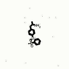 CC(N)Cc1ccc(OO[P@@](C)(=O)c2ccccc2)cc1